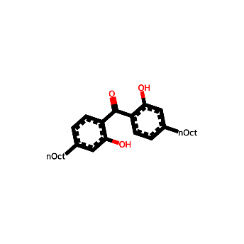 CCCCCCCCc1ccc(C(=O)c2ccc(CCCCCCCC)cc2O)c(O)c1